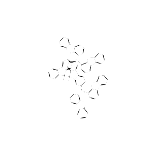 CC1(C2(C)c3ccccc3-c3ccc(N(c4cccc5c4oc4ccccc45)c4cccc5c4oc4ccccc45)cc32)c2ccccc2-c2ccc(N(c3cccc4c3oc3ccccc34)c3cccc4c3oc3ccccc34)cc21